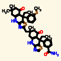 CCC1(c2cccc(C(N)=O)c2)C2=C(CC(C)(Cc3nc4c(s3)C(CC)(c3cccc(SC)c3)C3=C(CC(C)(C)CC3=O)N4)CC2=O)Nc2ncsc21